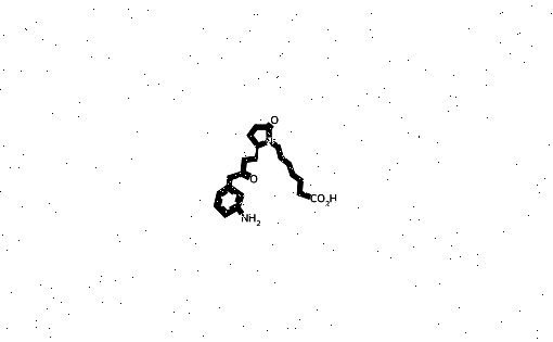 Nc1cccc(CC(=O)CC[C@H]2CCC(=O)N2CCCCCCC(=O)O)c1